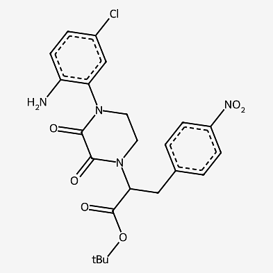 CC(C)(C)OC(=O)C(Cc1ccc([N+](=O)[O-])cc1)N1CCN(c2cc(Cl)ccc2N)C(=O)C1=O